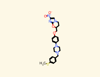 CSc1ccc(CN2CCN(c3ccc(OCC4CCn5cc([N+](=O)[O-])nc5O4)cc3)CC2)cc1